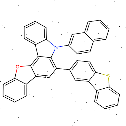 c1ccc2cc(-n3c4ccccc4c4c5oc6ccccc6c5cc(-c5ccc6sc7ccccc7c6c5)c43)ccc2c1